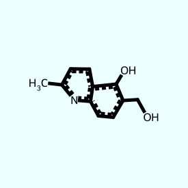 Cc1ccc2c(O)c(CO)ccc2n1